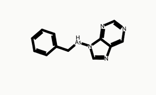 c1ccc(C[AsH]n2cnc3cncnc32)cc1